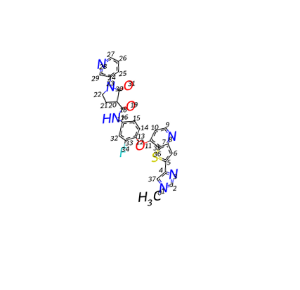 Cn1cnc(-c2cc3nccc(Oc4ccc(NC(=O)C5CCN(c6cccnc6)C5=O)cc4F)c3s2)c1